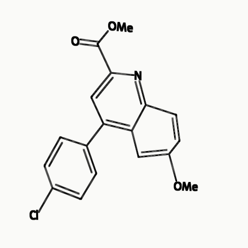 COC(=O)c1cc(-c2ccc(Cl)cc2)c2cc(OC)ccc2n1